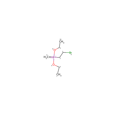 C=P(CCBr)(OCC)OCC